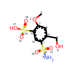 COc1cc(CO)c(S(N)(=O)=O)cc1S(=O)(=O)O